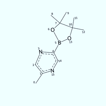 Cc1cnc(B2OC(C)(C)C(C)(C)O2)cn1